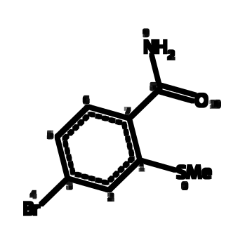 CSc1cc(Br)ccc1C(N)=O